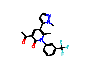 CC(=O)c1cc(-c2ccnn2C)c(C)n(-c2cccc(C(F)(F)F)c2)c1=O